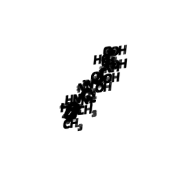 C[C@]12C[C@@H]3C[C@](C)(C1)C[C@@](Nc1nc(F)nc4c1ncn4C1OC(CNP(=O)(O)CP(=O)(O)O)C(O)C1O)(C3)C2